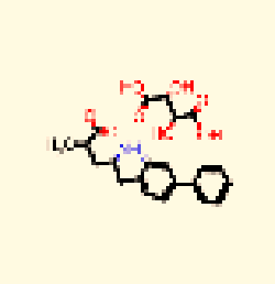 CC(CC(N)Cc1ccc(-c2ccccc2)cc1)C(=O)O.O=C(O)C(O)C(O)C(=O)O